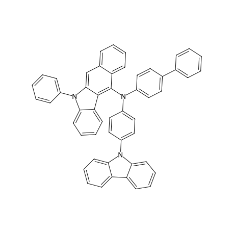 c1ccc(-c2ccc(N(c3ccc(-n4c5ccccc5c5ccccc54)cc3)c3c4ccccc4cc4c3c3ccccc3n4-c3ccccc3)cc2)cc1